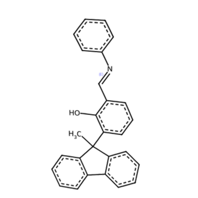 CC1(c2cccc(/C=N/c3ccccc3)c2O)c2ccccc2-c2ccccc21